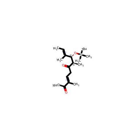 C/C=C(\C)[C@H](O[Si](C)(C)C(C)(C)C)[C@@H](C)C(=O)C/C=C(\C)C(=O)OC